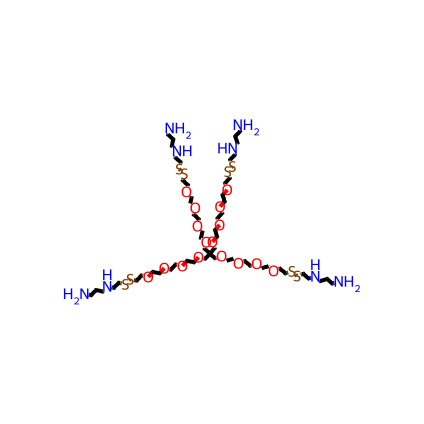 NCCCNCCSSCCOCCOCCOCCOCC(COCCOCCOCCOCCSSCCNCCCN)(COCCOCCOCCOCCSSCCNCCCN)COCCOCCOCCOCCSSCCNCCCN